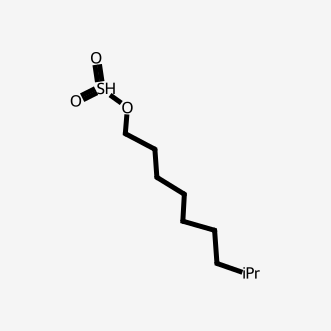 CC(C)CCCCCCCO[SH](=O)=O